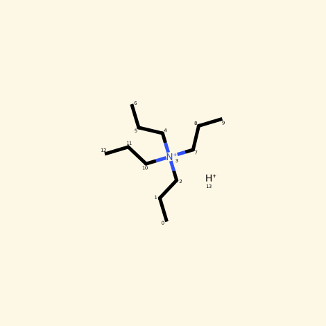 CCC[N+](CCC)(CCC)CCC.[H+]